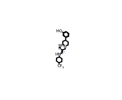 N=N/C(=C\NC1CCC(C(F)(F)F)CC1)CN1CCC(c2cccc(O)c2)CC1